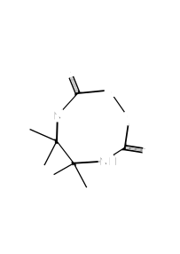 CC1(C)NC(=S)SSC(=S)NC1(C)C